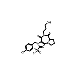 CCS(=O)(=O)c1nc2c(n1Cc1ccc(Cl)cc1)C(=O)N(CCCO)C(=O)C1CCCN21